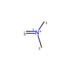 [C]=[N+](C)C